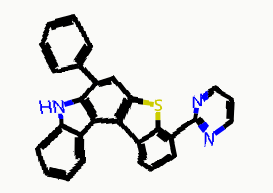 c1ccc(-c2cc3sc4c(-c5ncccn5)cccc4c3c3c2[nH]c2ccccc23)cc1